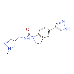 Cn1cc(CNC(=O)N2CCc3cc(-c4cn[nH]c4)ccc32)cn1